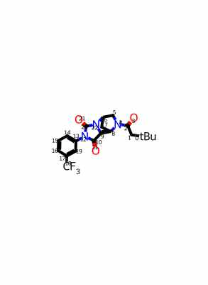 CC(C)(C)CC(=O)N1CC2CC1=C1C(=O)N(c3cccc(C(F)(F)F)c3)C(=O)N12